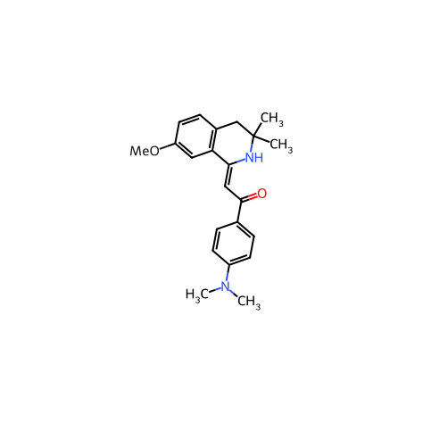 COc1ccc2c(c1)/C(=C/C(=O)c1ccc(N(C)C)cc1)NC(C)(C)C2